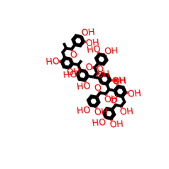 CC(c1c(O)cc(O)c2c1OC(c1ccc(O)c(O)c1)C(C)C2)c1c(O)cc(O)c2c1OC1(c3ccc(O)c(O)c3)Oc3cc(O)c4c(c3C2C1O)OC(c1ccc(O)c(O)c1)C(O)C4c1c(O)cc(O)c2c1OC(c1ccc(O)c(O)c1)C(O)C2